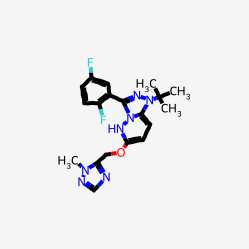 Cn1ncnc1COC1=CC=C2N(N1)C(c1cc(F)ccc1F)=NN2C(C)(C)C